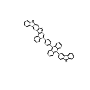 c1ccc2c(c1)sc1ccc(-c3c4ccccc4c(-c4ccc(-c5cc6sc7cc8sc9ccccc9c8cc7c6c6ccccc56)cc4)c4ccccc34)cc12